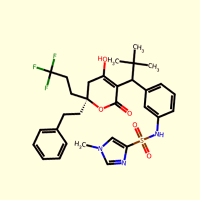 Cn1cnc(S(=O)(=O)Nc2cccc(C(C3=C(O)C[C@](CCc4ccccc4)(CCC(F)(F)F)OC3=O)C(C)(C)C)c2)c1